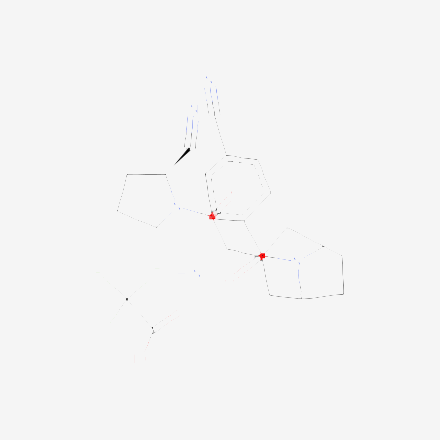 N#Cc1ccc(C(=O)N2C3CCC2CC([C@H](N)C(=O)N2CCC[C@H]2C#N)C3)cc1.O=C(O)C(F)(F)F